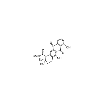 CCC1(O)CCc2c(cc3c(c2O)C(=O)c2c(O)cccc2C3=O)C1C(=O)OC